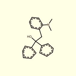 CN(C)c1ccccc1CC(O)(c1ccccc1)c1ccccc1